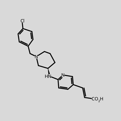 O=C(O)/C=C/c1ccc(N[C@@H]2CCCN(Cc3ccc(Cl)cc3)C2)nc1